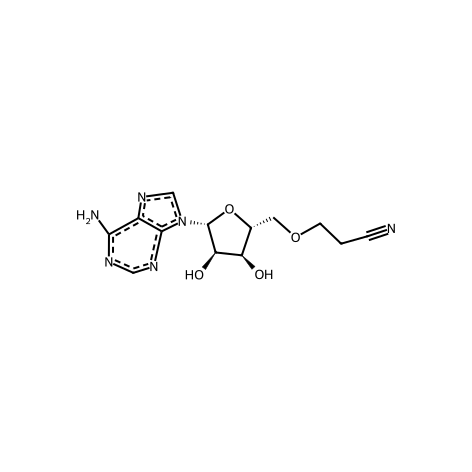 N#CCCOC[C@H]1O[C@@H](n2cnc3c(N)ncnc32)[C@H](O)[C@@H]1O